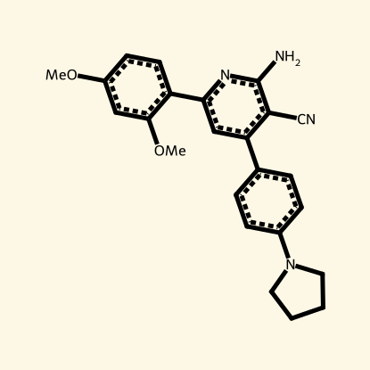 COc1ccc(-c2cc(-c3ccc(N4CCCC4)cc3)c(C#N)c(N)n2)c(OC)c1